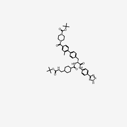 Cc1cc(C(=O)N2CCN(C(=O)OC(C)(C)C)CC2)ccc1-c1ccc(C[C@H](NC(=O)C2CCC(CNC(=O)OC(C)(C)C)CC2)C(=O)Nc2ccc(-c3nn[nH]n3)cc2)cc1